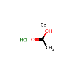 CC(=O)O.Cl.[Ce]